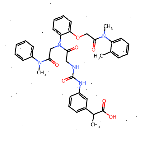 Cc1ccccc1N(C)C(=O)COc1ccccc1N(CC(=O)N(C)c1ccccc1)C(=O)CNC(=O)Nc1cccc(C(C)C(=O)O)c1